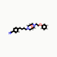 N#Cc1ccc(CCCCN2CC3CN(CCOc4ccccc4)CC(C2)O3)cc1